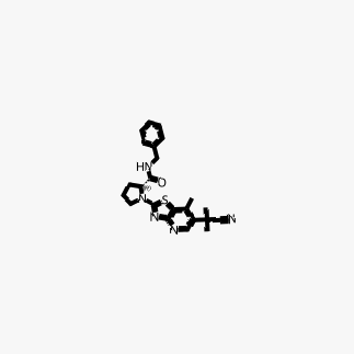 Cc1c(C(C)(C)C#N)cnc2nc(N3CCC[C@@H]3C(=O)NCc3ccccc3)sc12